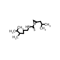 CC(C)CC1CN1C(=S)NCCCC(C)C(C)C